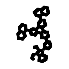 C=Cc1c(/C=C\C)c2ccccc2n1-c1cccc(-c2cnc3c4ccc(-c5cccc6ccccc56)cc4c4cc(-c5cccc6ccccc56)ccc4c3n2)c1